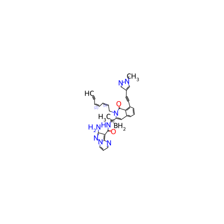 B[C@@](C)(NC(=O)c1c(N)nn2cccnc12)c1cc2cccc(C#Cc3cnn(C)c3)c2c(=O)n1C/C=C\C=C/C#C